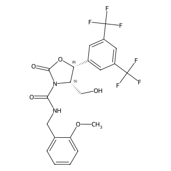 COc1ccccc1CNC(=O)N1C(=O)O[C@H](c2cc(C(F)(F)F)cc(C(F)(F)F)c2)[C@@H]1CO